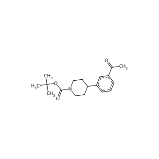 CC(=O)c1cccc(C2CCN(C(=O)OC(C)(C)C)CC2)c1